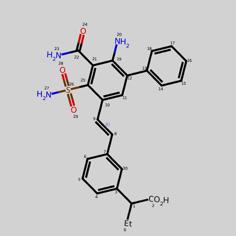 CCC(C(=O)O)c1cccc(/C=C/c2cc(-c3ccccc3)c(N)c(C(N)=O)c2S(N)(=O)=O)c1